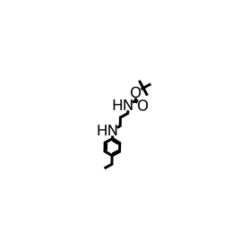 CCc1ccc(NCCCNC(=O)OC(C)(C)C)cc1